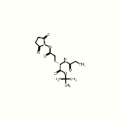 CCC(=O)N[C@@H](CCC(=O)ON1C(=O)CCC1=O)C(=O)OC(C)(C)C